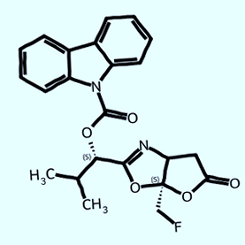 CC(C)[C@H](OC(=O)n1c2ccccc2c2ccccc21)C1=NC2CC(=O)O[C@@]2(CF)O1